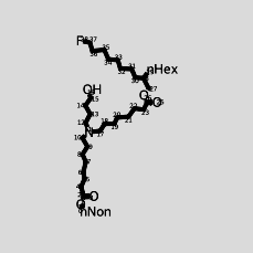 CCCCCCCCCOC(=O)CCCCCCCN(CCCCO)CCCCCCCC(=O)OCC(CCCCCC)CCCCCCCCF